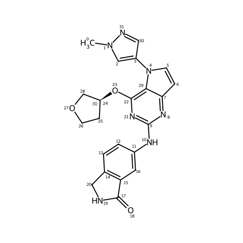 Cn1cc(-n2ccc3nc(Nc4ccc5c(c4)C(=O)NC5)nc(O[C@H]4CCOC4)c32)cn1